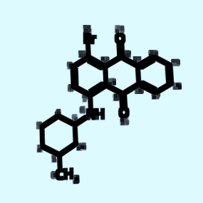 CC1CCCC(Nc2ccc(Br)c3c2C(=O)c2ccccc2C3=O)C1